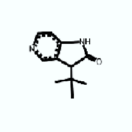 CC(C)(C)C1C(=O)Nc2ccncc21